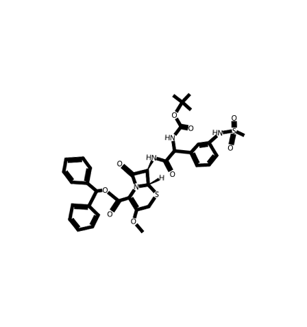 COC1=C(C(=O)OC(c2ccccc2)c2ccccc2)N2C(=O)[C@@H](NC(=O)C(NC(=O)OC(C)(C)C)c3cccc(NS(C)(=O)=O)c3)[C@@H]2SC1